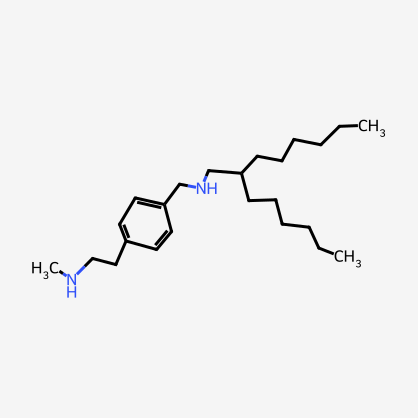 CCCCCCC(CCCCCC)CNCc1ccc(CCNC)cc1